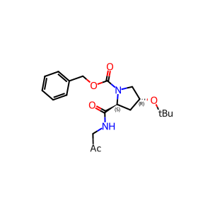 CC(=O)CNC(=O)[C@@H]1C[C@@H](OC(C)(C)C)CN1C(=O)OCc1ccccc1